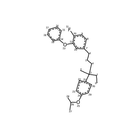 CCC(C)(CCCc1ccc(F)c(Oc2ccccc2)c1)c1ccc(OC(C)C)cc1